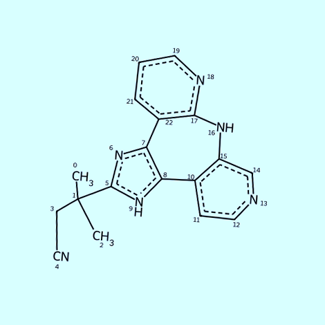 CC(C)(CC#N)c1nc2c([nH]1)-c1ccncc1Nc1ncccc1-2